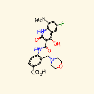 CNc1cc(F)cc2c(O)c(C(=O)Nc3ccc(C(=O)O)cc3CN3CCOCC3)c(=O)[nH]c12